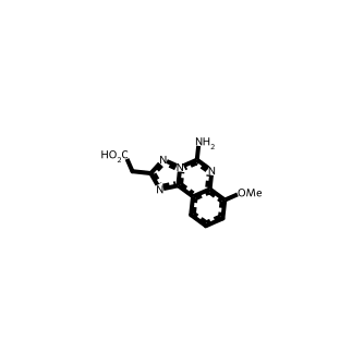 COc1cccc2c1nc(N)n1nc(CC(=O)O)nc21